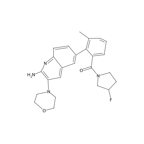 Cc1cccc(C(=O)N2CCC(F)C2)c1-c1ccc2nc(N)c(N3CCOCC3)cc2c1